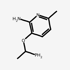 Cc1ccc(OC(C)P)c(N)n1